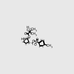 Cc1ccc(S(=O)(=O)OC[C@@H]2CCNC2OC(=O)C(C)(C)C)cc1